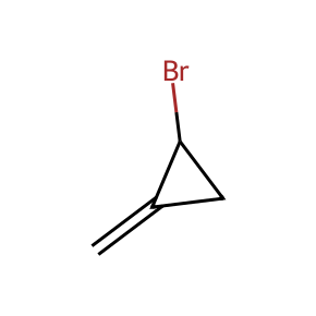 C=C1CC1Br